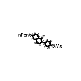 CCCCCc1ccc2c(F)c(-c3ccc(OC)cc3)ccc2c1